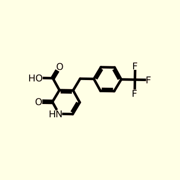 O=C(O)c1c(Cc2ccc(C(F)(F)F)cc2)cc[nH]c1=O